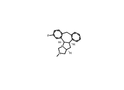 CN1C[C@@H]2C[C@@H]3c4ccccc4Cc4ccc(F)cc4[C@@H]3N2C1